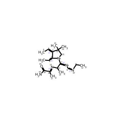 C/C=C1\C(=C/C)N(/C(=N/C=N\CC)C(C)/N=C(\C)C(N)=O)CC1(C)C